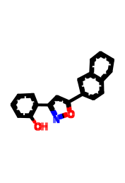 Oc1ccccc1-c1cc(-c2ccc3ccccc3c2)on1